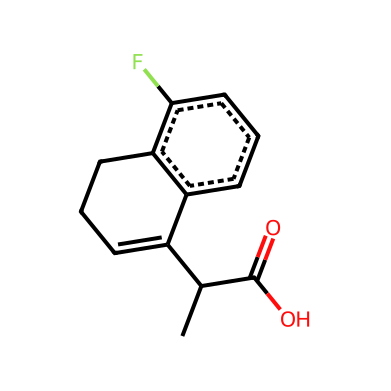 CC(C(=O)O)C1=CCCc2c(F)cccc21